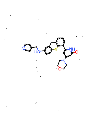 O=c1cc(N2CCOCC2)cc(-c2cccc3c2Sc2ccc(NCc4ccncc4)cc2C3)[nH]1